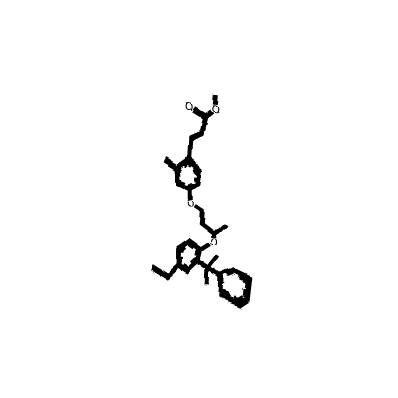 CCc1ccc(OC(C)CCOc2ccc(CCC(=O)OC)c(C)c2)c(C(C)(C)c2ccccc2)c1